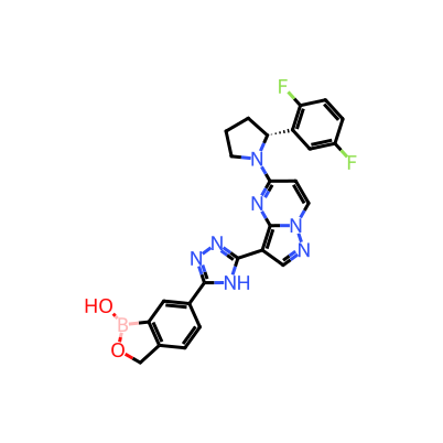 OB1OCc2ccc(-c3nnc(-c4cnn5ccc(N6CCC[C@@H]6c6cc(F)ccc6F)nc45)[nH]3)cc21